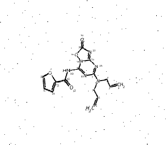 C=CCN(CC=C)c1nc(NC(=O)c2ccco2)n2oc(=O)nc2n1